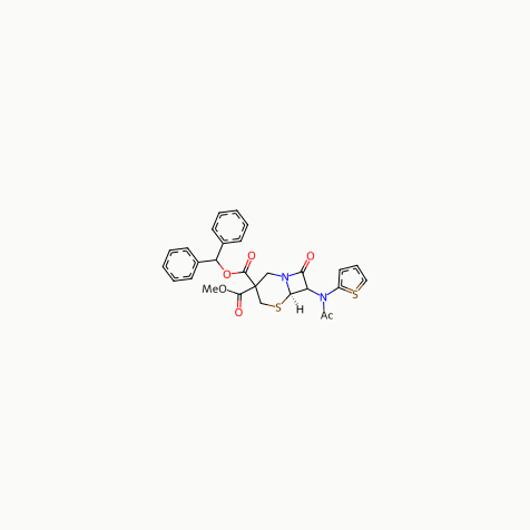 COC(=O)C1(C(=O)OC(c2ccccc2)c2ccccc2)CS[C@@H]2C(N(C(C)=O)c3cccs3)C(=O)N2C1